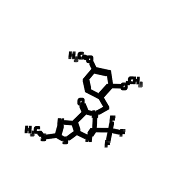 COc1ccc(Cn2c(C(F)(F)F)nc3sc(SC)nc3c2=O)c(OC)c1